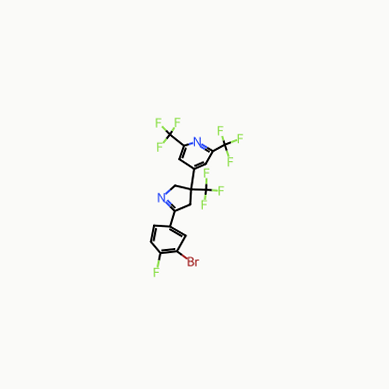 Fc1ccc(C2=NCC(c3cc(C(F)(F)F)nc(C(F)(F)F)c3)(C(F)(F)F)C2)cc1Br